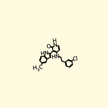 Cc1ccc2[nH]c(-c3c(NCCc4cccc(Cl)c4)cc[nH]c3=O)cc2c1